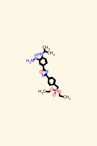 CCOP(=O)(Cc1ccc(-c2noc(-c3ccc(NC(C)C)c(NN)c3)n2)cc1)OCC